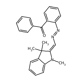 CN1/C(=C/N=N/c2ccccc2C(=O)c2ccccc2)C(C)(C)c2ccccc21